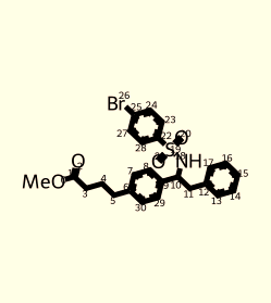 COC(=O)CCCc1ccc(C(Cc2ccccc2)NS(=O)(=O)c2ccc(Br)cc2)cc1